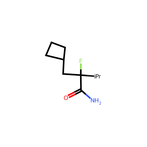 CC(C)C(F)(CC1CCC1)C(N)=O